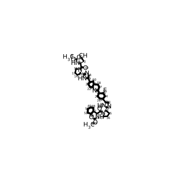 C#CC[C@H](NC(=O)OC)C(=O)N1CCC[C@H]1c1ncc(-c2ccc3nc(-c4ccc(-c5cnc([C@@H]6CCCN6C(=O)[C@H](NC(=O)OC)c6ccccc6)[nH]5)cc4F)ccc3c2)[nH]1